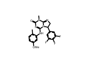 COc1ccc(C)c(NC2=NC(=O)N(C)C3=NCC(c4cc(F)c(F)c(F)c4)N23)c1